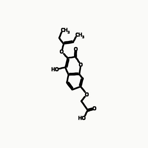 CC=C(CC)Oc1c(O)c2ccc(OCC(=O)O)cc2oc1=O